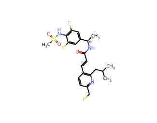 CC(C)Cc1nc(CF)ccc1/C=C/C(=O)N[C@H](C)c1cc(F)c(NS(C)(=O)=O)c(F)c1